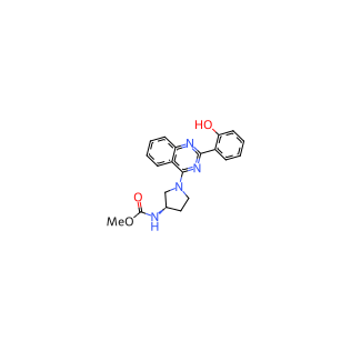 COC(=O)N[C@@H]1CCN(c2nc(-c3ccccc3O)nc3ccccc23)C1